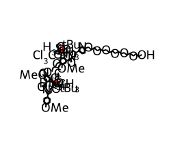 COc1ccc(C2=CN3C(=O)c4cc(OC)c(OCCCOc5cc6c(cc5OC)C(=O)N5C=C(c7ccc(OCCOCCOCCOCCOCCOCCO)nc7)CC5C(O[Si](C)(C)C(C)(C)C)N6C(=O)OCC(Cl)(Cl)Cl)cc4N(C(=O)OCC(Cl)(Cl)Cl)C(O[Si](C)(C)C(C)(C)C)C3C2)cc1